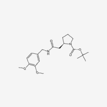 COc1ccc(CNC(=O)C[C@H]2CCCN2C(=O)OC(C)(C)C)cc1OC